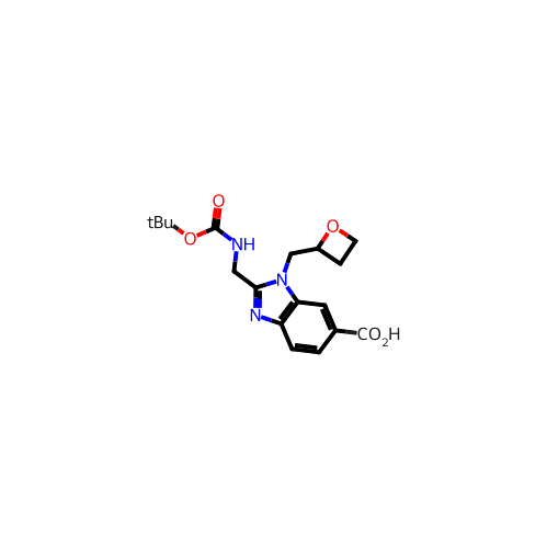 CC(C)(C)OC(=O)NCc1nc2ccc(C(=O)O)cc2n1CC1CCO1